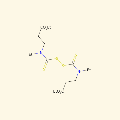 CCOC(=O)CCN(CC)C(=S)SSC(=S)N(CC)CCC(=O)OCC